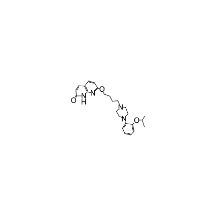 CC(C)Oc1ccccc1N1CCN(CCCCOc2ccc3ccc(=O)[nH]c3n2)CC1